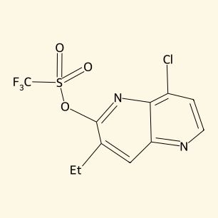 CCc1cc2nccc(Cl)c2nc1OS(=O)(=O)C(F)(F)F